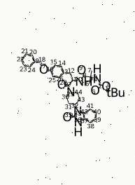 CC(C)(C)OC(=O)NC(C)(C)C(=O)N[C@H](Cc1ccc(OCc2ccccc2)cc1)C(=O)N1CCC(n2c(=O)[nH]c3ccccc32)CC1